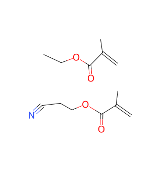 C=C(C)C(=O)OCC.C=C(C)C(=O)OCCC#N